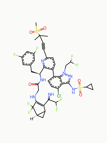 CC(C)(C#Cc1ccc(-c2ccc(Cl)c3c(NS(=O)(=O)C4CC4)nn(CC(F)F)c23)c([C@H](Cc2cc(F)cc(F)c2)NC(=O)CNC2=C(C(=N)C(F)F)C3C[C@H]3C2(F)F)n1)S(C)(=O)=O